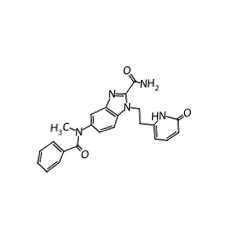 CN(C(=O)c1ccccc1)c1ccc2c(c1)nc(C(N)=O)n2CCc1cccc(=O)[nH]1